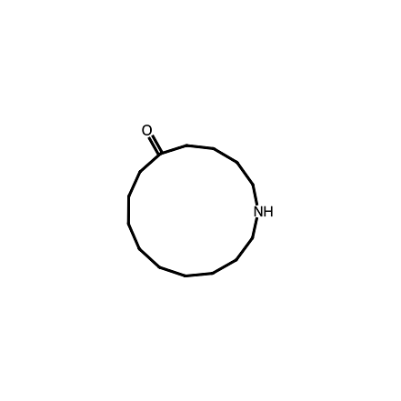 O=C1CCCCCCCCCNCCCC1